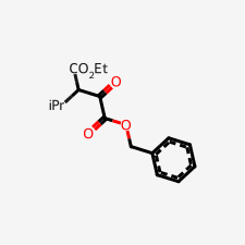 CCOC(=O)C(C(=O)C(=O)OCc1ccccc1)C(C)C